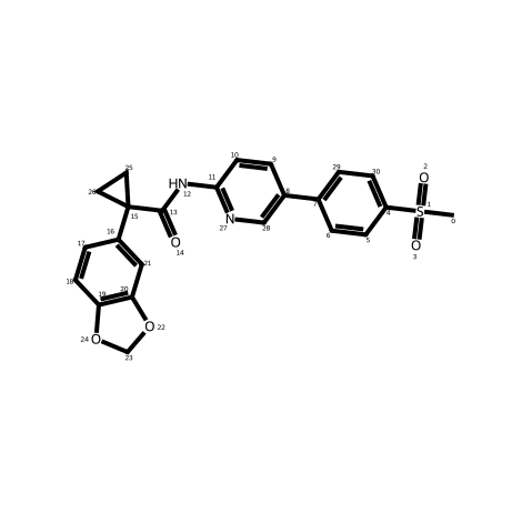 CS(=O)(=O)c1ccc(-c2ccc(NC(=O)C3(c4ccc5c(c4)OCO5)CC3)nc2)cc1